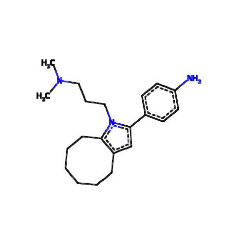 CN(C)CCCn1c(-c2ccc(N)cc2)cc2c1CCCCCC2